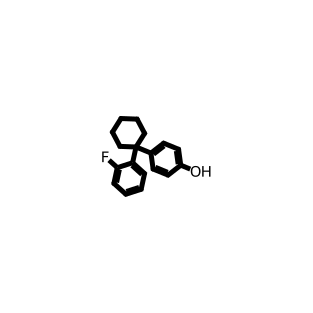 Oc1ccc(C2(c3ccccc3F)CCCCC2)cc1